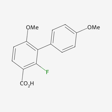 COc1ccc(-c2c(OC)ccc(C(=O)O)c2F)cc1